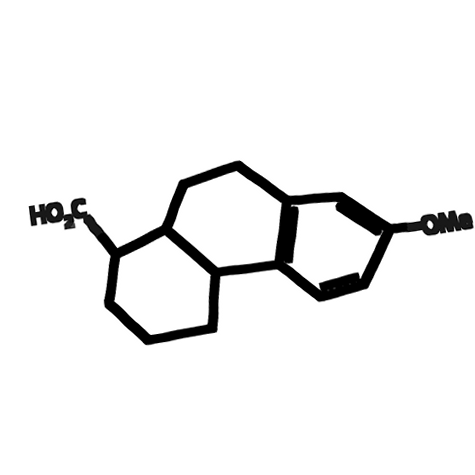 COc1ccc2c(c1)CCC1C(C(=O)O)CCCC21